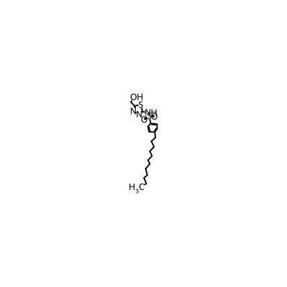 CCCCCCCCCCCCc1ccc(S(=O)(=O)Nc2nnc(CO)s2)cc1